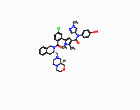 Cc1c(C(=O)N(c2ccc(O)cc2)c2cnn(C)c2)cc(-c2cc(Cl)ccc2C(=O)N2Cc3ccccc3C[C@H]2CN2CCN3CCOC[C@@H]3C2)n1C